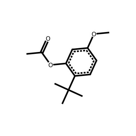 COc1ccc(C(C)(C)C)c(OC(C)=O)c1